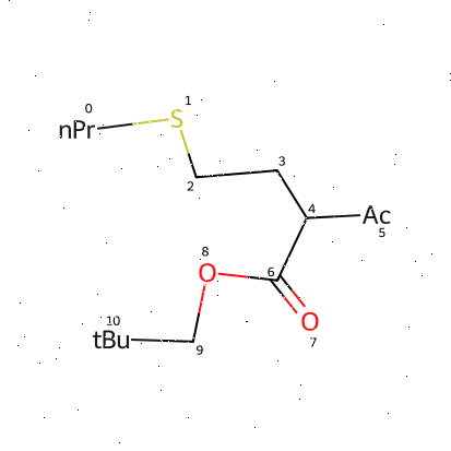 CCCSCCC(C(C)=O)C(=O)OCC(C)(C)C